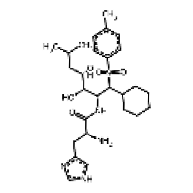 Cc1ccc(S(=O)(=O)C(C2CCCCC2)[C@@H](NC(=O)[C@@H](N)Cc2c[nH]cn2)[C@@H](O)[C@@H](O)CC(C)C)cc1